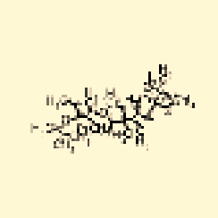 CCC(C)(C(C)O[Si](C)(C)[C@](C)(CC)O[Si](C)(C)C)[Si](C)(C)O[C@](C)(CC)[Si](C)(C)C